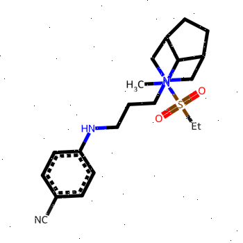 CCS(=O)(=O)N(C)C1C2CCC1CN(CCCNc1ccc(C#N)cc1)C2